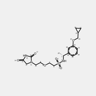 C[C@@H](NS(=O)(=O)CCOCCN1CC(=O)NC1=O)c1cccc(OCC2CC2)c1